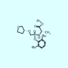 CCC(C)c1cccc(C(C)CC)c1OP(=O)(CO[C@@H]1CCOC1)N[C@@H](C)C(=O)OC(C)C